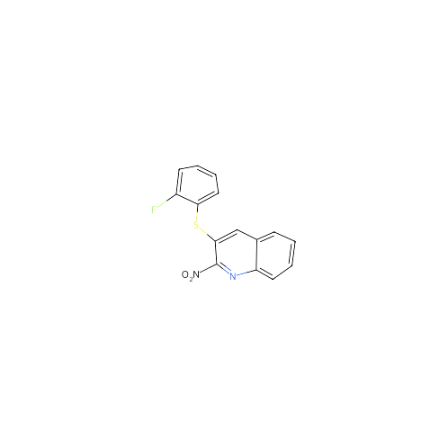 O=[N+]([O-])c1nc2ccccc2cc1Sc1ccccc1F